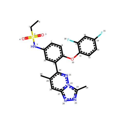 CCS(=O)(=O)Nc1ccc(Oc2ccc(F)cc2F)c(-c2nn3c(C)nnc3cc2C)c1